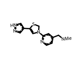 CNCc1ccnc(N2C=C(c3cn[nH]c3)SC2)c1